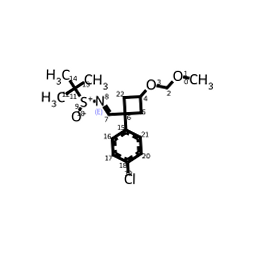 COCOC1CC(/C=N/[S+]([O-])C(C)(C)C)(c2ccc(Cl)cc2)C1